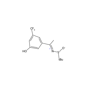 C/C(=N\[S+]([O-])C(C)(C)C)c1cc(O)cc(C(F)(F)F)c1